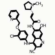 CN1CCC[C@H]1/C=C/C(=O)Nc1cc2c(Nc3ccc(OCc4ccccn4)c(Cl)c3)c(C#N)cnc2cc1O